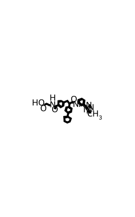 Cn1nnc(-c2cccc(NC(=O)C(Cc3ccc(C(=O)NCCC(=O)O)cc3)c3ccc(C4=CCCCC4)cc3)c2)n1